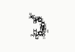 CCNC(=O)c1ccc(Nc2nc3ccc(-c4cccc(C(=O)NCC(C)(C)C)c4)cn3n2)c(OC)c1